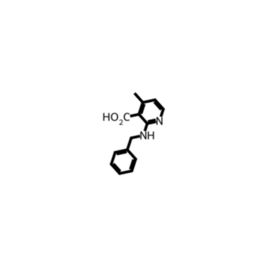 Cc1ccnc(NCc2ccccc2)c1C(=O)O